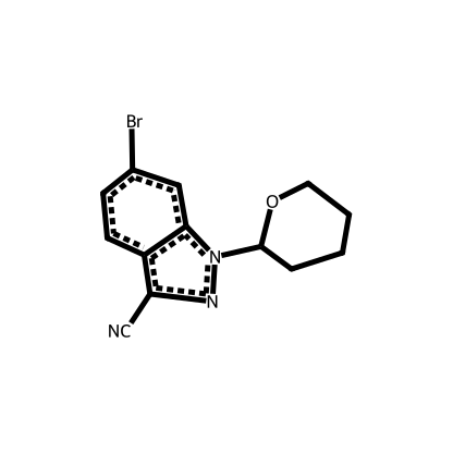 N#Cc1nn(C2CCCCO2)c2cc(Br)ccc12